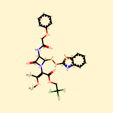 CO/C(C)=C(\C(=O)OCC(Cl)(Cl)Cl)N1C(=O)C(NC(=O)COc2ccccc2)C1SSc1nc2ccccc2s1